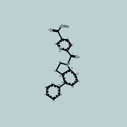 COC(=O)c1ccc(C(=O)N2CCc3c(-c4ccccc4)cccc32)nc1